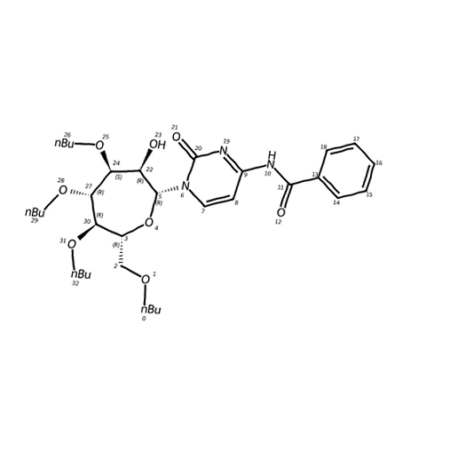 CCCCOC[C@H]1O[C@@H](n2ccc(NC(=O)c3ccccc3)nc2=O)[C@H](O)[C@H](OCCCC)[C@@H](OCCCC)[C@@H]1OCCCC